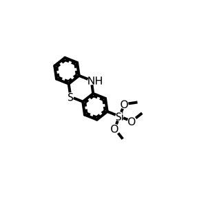 CO[Si](OC)(OC)c1ccc2c(c1)Nc1ccccc1S2